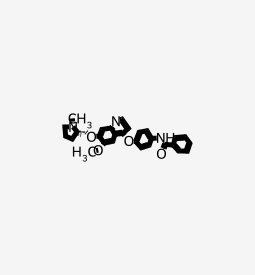 COc1cc2c(Oc3ccc(NC(=O)c4ccccc4)cc3)ccnc2cc1OC[C@@H]1CCCN1C